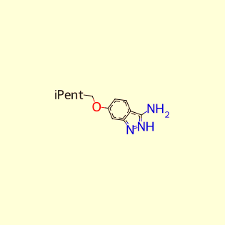 CCCC(C)COc1ccc2c(N)[nH]nc2c1